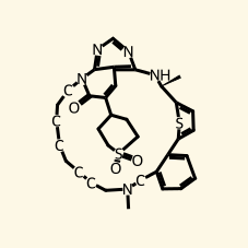 C[C@@H]1Nc2ncnc3c2cc(C2CCS(=O)(=O)CC2)c(=O)n3CCCCCCCCN(C)Cc2ccccc2-c2ccc1s2